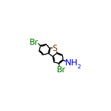 Nc1cc2sc3cc(Br)ccc3c2cc1Br